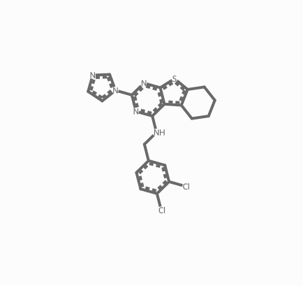 Clc1ccc(CNc2nc(-n3ccnc3)nc3sc4c(c23)CCCC4)cc1Cl